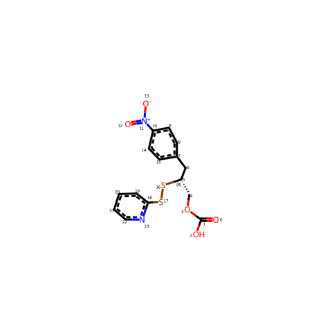 O=C(O)OC[C@@H](Cc1ccc([N+](=O)[O-])cc1)SSc1ccccn1